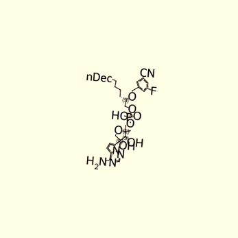 CCCCCCCCCCCCCC[C@@H](COP(=O)(O)OC[C@@]1(C)OC[C@](O)(c2ccc3c(N)ncnn23)[C@@H]1O)OCc1cc(F)cc(C#N)c1